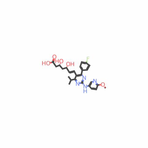 COc1ccc(Nc2nc(-c3ccc(F)cc3)c(/C=C/[C@@H](O)C[C@@H](O)CC(=O)O)c(C(C)C)n2)cn1